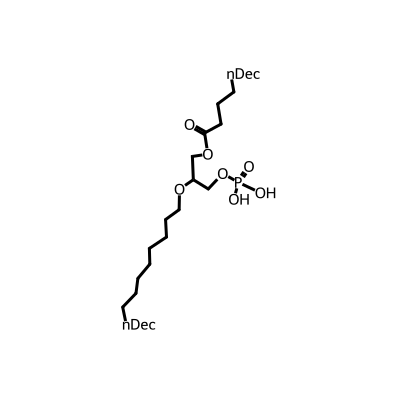 CCCCCCCCCCCCCCCCCCOC(COC(=O)CCCCCCCCCCCCC)COP(=O)(O)O